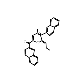 CC/C=C(\O/C(=C\CC)C(=O)c1ccc2ccccc2c1)C(=O)c1ccc2ccccc2c1